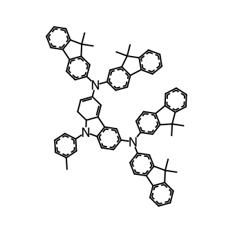 Cc1cccc(N2c3ccc(N(c4ccc5c(c4)C(C)(C)c4ccccc4-5)c4ccc5c(c4)C(C)(C)c4ccccc4-5)cc3C3=CC(N(c4ccc5c(c4)C(C)(C)c4ccccc4-5)c4ccc5c(c4)C(C)(C)c4ccccc4-5)=CCC32)c1